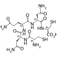 NC(=O)CC[C@H](NC(=O)[C@H](CC(N)=O)NC(=O)[C@@H](N)CS)C(=O)N[C@@H](CC(N)=O)C(=O)N[C@@H](CS)C(=O)O